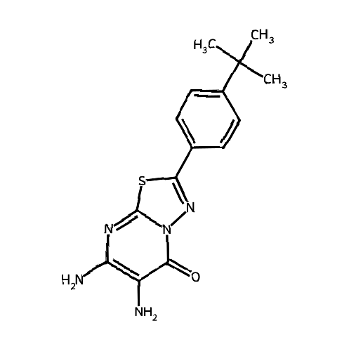 CC(C)(C)c1ccc(-c2nn3c(=O)c(N)c(N)nc3s2)cc1